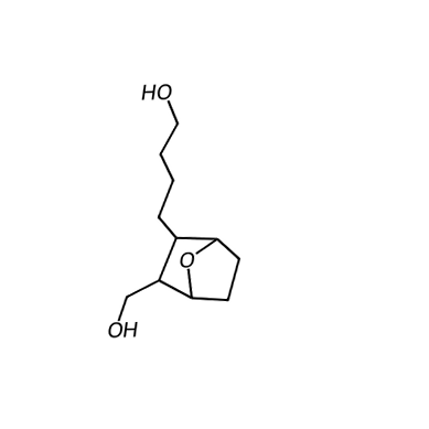 OCCCCC1C2CCC(O2)C1CO